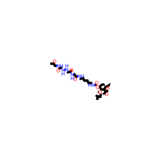 COC1C(OC(=O)NCCCCCCNC(=O)CNC(=O)CNNCC(=O)NCC(C)=O)CC[C@]2(CO2)C1C1(C)O[C@@H]1CC=C(C)C